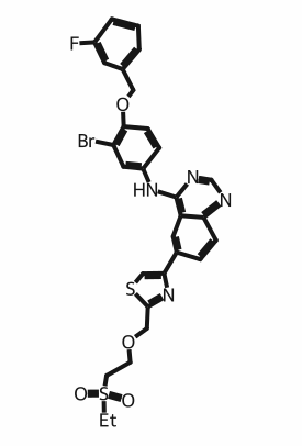 CCS(=O)(=O)CCOCc1nc(-c2ccc3ncnc(Nc4ccc(OCc5cccc(F)c5)c(Br)c4)c3c2)cs1